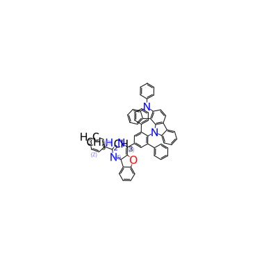 C/C=C\C(=C/C)C(C)/N=C1\C(=C(/N)c2cc(-c3ccccc3)c(-n3c4ccccc4c4ccc5c(c6ccccc6n5-c5ccccc5)c43)c(-c3ccccc3)c2)Oc2ccccc21